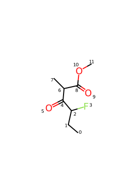 CCC(F)C(=O)C(C)C(=O)OC